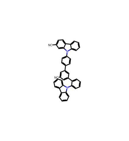 N#Cc1cc(-c2ccc(-n3c4ccccc4c4ccc(C#N)cc43)cc2)cc(-c2ccccc2-n2c3ccccc3c3ccccc32)c1